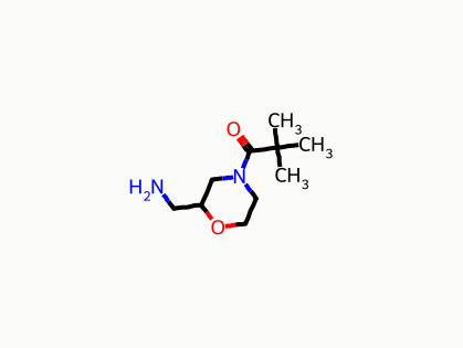 CC(C)(C)C(=O)N1CCOC(CN)C1